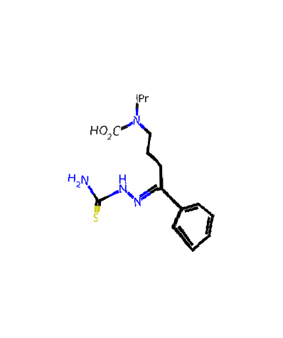 CC(C)N(CCCC(=NNC(N)=S)c1ccccc1)C(=O)O